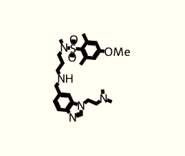 COc1cc(C)c(S(=O)(=O)N(C)CCCNCc2ccc3ncn(CCN(C)C)c3c2)c(C)c1